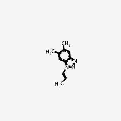 C/C=C/n1nnc2cc(C)c(C)cc21